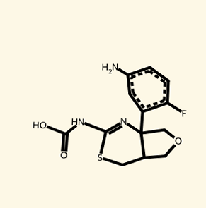 Nc1ccc(F)c(C23COCC2CSC(NC(=O)O)=N3)c1